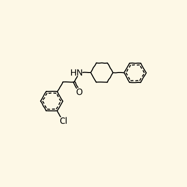 O=C(Cc1cccc(Cl)c1)NC1CCC(c2ccccc2)CC1